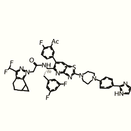 CC(=O)c1cc(-c2cc3sc(N4CCN(c5ccc(-c6ncc[nH]6)cc5)CC4)nc3nc2[C@H](Cc2cc(F)cc(F)c2)NC(=O)Cn2nc(C(F)F)c3c2C2CC2CC3)ccc1F